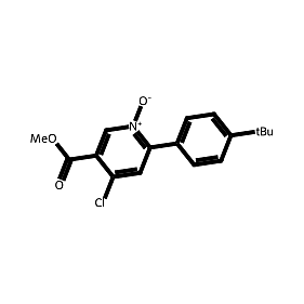 COC(=O)c1c[n+]([O-])c(-c2ccc(C(C)(C)C)cc2)cc1Cl